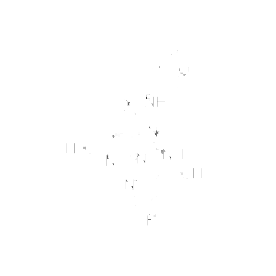 Cc1nc2nc(NC(C)c3cncc(F)c3)nc(C(=O)NC[C@@H]3CCOC3)c2s1